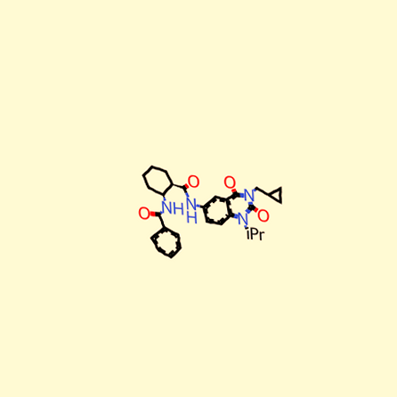 CC(C)n1c(=O)n(CC2CC2)c(=O)c2cc(NC(=O)[C@@H]3CCCC[C@@H]3NC(=O)c3ccccc3)ccc21